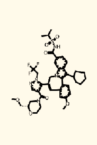 COC[C@@H]1CN(C(=O)c2cnn(CC(F)(F)F)c2C2=Cc3cc(OC)ccc3-c3c(C4CCCCC4)c4ccc(C(=O)NS(=O)(=O)C(C)C)cc4n3C2)CCO1